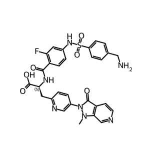 Cn1c2cnccc2c(=O)n1-c1ccc(C[C@H](NC(=O)c2ccc(NS(=O)(=O)c3ccc(CN)cc3)cc2F)C(=O)O)nc1